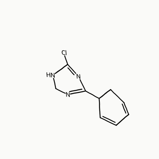 ClC1=NC(C2C=CC=CC2)=NCN1